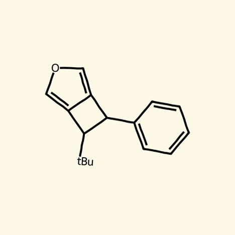 CC(C)(C)C1c2cocc2C1c1ccccc1